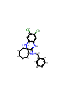 Clc1cc2c(cc1Cl)NC1(CCCCCC1)C(NCc1ccccc1)=N2